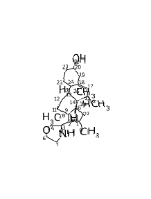 CC1=C(C2COCCN2)[C@@]2(C)CC[C@@H]3[C@@H](C(C)C=C4CC(O)CC[C@@]43C)[C@@H]2C1